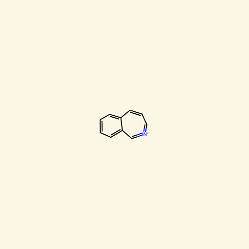 C1=Cc2ccccc2C=[N+]=C1